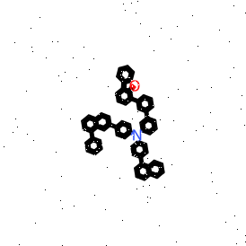 c1ccc(-c2cccc3ccc(-c4ccc(N(c5ccc(-c6cccc7ccccc67)cc5)c5cccc(-c6cccc(-c7cccc8c7oc7ccccc78)c6)c5)cc4)cc23)cc1